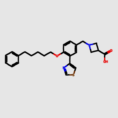 O=C(O)C1CN(Cc2ccc(OCCCCCc3ccccc3)c(-c3cscn3)c2)C1